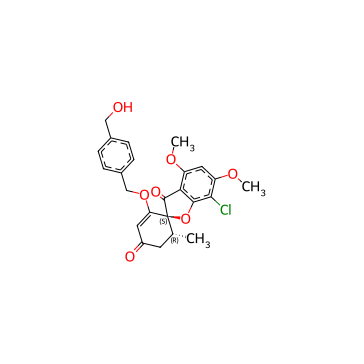 COc1cc(OC)c2c(c1Cl)O[C@]1(C2=O)C(OCc2ccc(CO)cc2)=CC(=O)C[C@H]1C